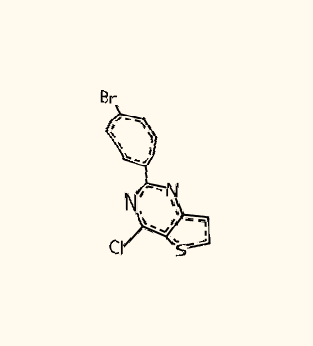 Clc1nc(-c2ccc(Br)cc2)nc2ccsc12